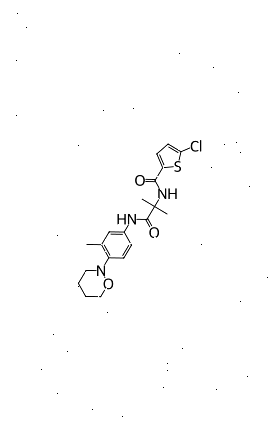 Cc1cc(NC(=O)C(C)(C)NC(=O)c2ccc(Cl)s2)ccc1N1CCCCO1